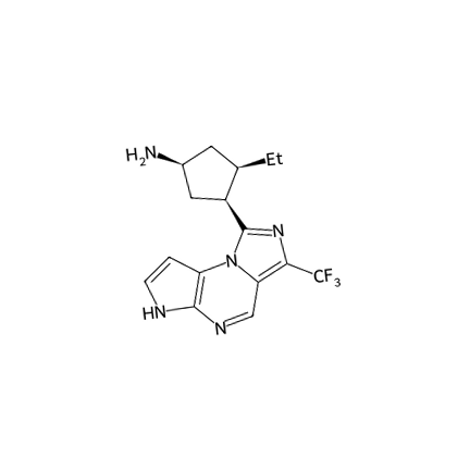 CC[C@@H]1C[C@H](N)C[C@@H]1c1nc(C(F)(F)F)c2cnc3[nH]ccc3n12